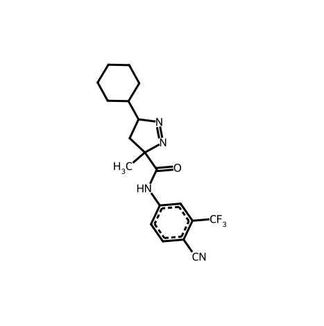 CC1(C(=O)Nc2ccc(C#N)c(C(F)(F)F)c2)CC(C2CCCCC2)N=N1